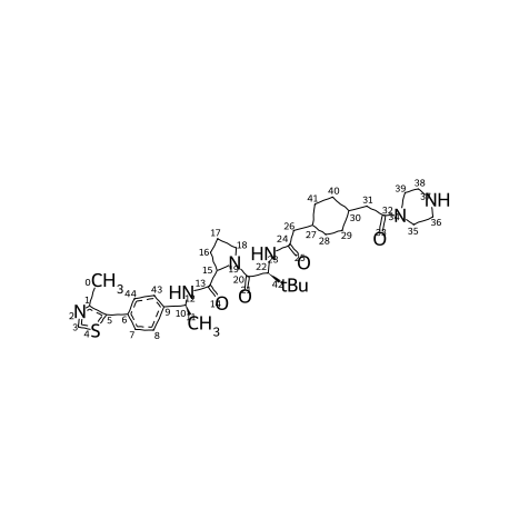 Cc1ncsc1-c1ccc([C@H](C)NC(=O)C2CCCN2C(=O)[C@@H](NC(=O)CC2CCC(CC(=O)N3CCNCC3)CC2)C(C)(C)C)cc1